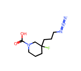 [N-]=[N+]=NCCCC1(F)CCCN(C(=O)O)C1